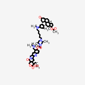 CC[C@@]1(O)C(=O)OCc2c1cc1n(c2=O)Cc2cc3c(CN(C)C)c(OC(=O)N4C[C@H](C)N(CCCCCCN(C)c5ccc([C@H]6C[C@]7(C)[C@H](OC(C)=O)CC[C@H]7C7CCC8=CC(=O)CCC8=C76)cc5)C[C@H]4C)ccc3nc2-1